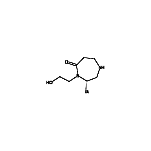 CC[C@H]1CNCCC(=O)N1CCO